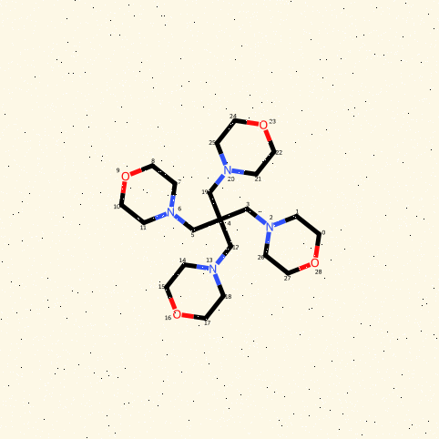 C1CN(CC(CN2CCOCC2)(CN2CCOCC2)CN2CCOCC2)CCO1